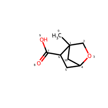 CC12COC(CC1C(=O)O)C2